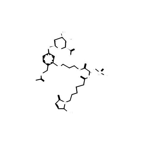 CC(=O)OCc1ccc(O[C@@H]2O[C@H](C(=O)O)[C@@H](O)[C@H](O)[C@H]2O)cc1OCCCNC(=O)[C@H](CS(=O)(=O)O)NC(=O)CCCCCN1C(=O)C=CC1O